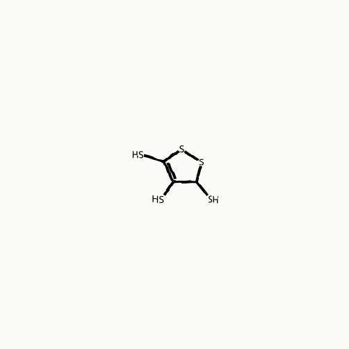 SC1=C(S)C(S)SS1